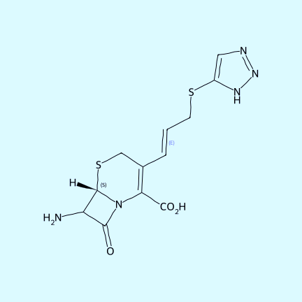 NC1C(=O)N2C(C(=O)O)=C(/C=C/CSc3cnn[nH]3)CS[C@@H]12